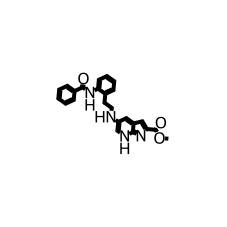 COC(=O)c1cc2cc(NCCc3ccccc3NC(=O)c3ccccc3)c[nH]c-2n1